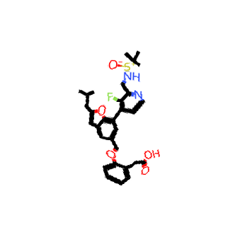 CC(C)Cc1cc2cc(COc3ccccc3CC(=O)O)cc(-c3ccnc(CN[S@@+]([O-])C(C)(C)C)c3F)c2o1